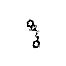 C(=N\Nc1nc2ccccc2[nH]1)/c1cccnc1